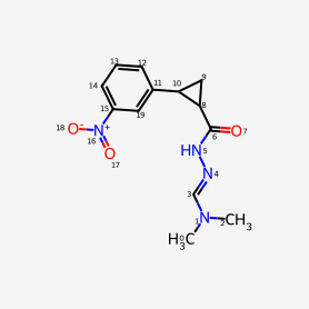 CN(C)C=NNC(=O)C1CC1c1cccc([N+](=O)[O-])c1